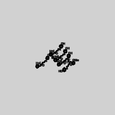 CN(Cc1c(Cl)cccc1Cl)C(=O)CCCSc1ccc(O)cc1.CN(Cc1cccc(Cl)c1Cl)C(=O)CCCSc1ccc(O)cc1.CN(Cc1ccccc1Cl)C(=O)CCC[S+]([O-])c1ccc(O)cc1.CN(Cc1ccccc1F)C(=O)CCCSc1ccc(O)cc1.COc1ccccc1CN(C)C(=O)CCCSc1ccc(O)cc1